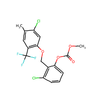 COC(=O)Oc1cccc(Cl)c1COc1cc(Cl)c(C)cc1C(F)(F)F